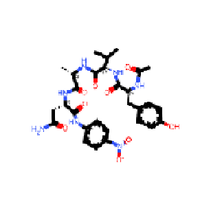 CC(=O)N[C@@H](Cc1ccc(O)cc1)C(=O)N[C@H](C(=O)N[C@@H](C)C(=O)N[C@@H](CC(N)=O)C(=O)Nc1ccc([N+](=O)[O-])cc1)C(C)C